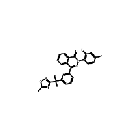 Cc1nc(C(C)(C)c2cccc(-c3nn(-c4ccc(F)cc4F)c(=O)c4ccccc34)c2)no1